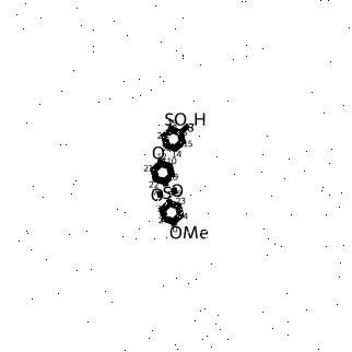 COc1ccc(S(=O)(=O)c2ccc(Oc3ccc(C)c(S(=O)(=O)O)c3)cc2)cc1